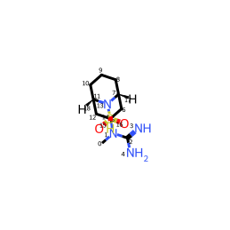 CN(C(=N)N)[C@@H]1C[C@H]2CCC[C@@H](C1)N2[SH](=O)=O